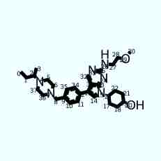 CCC(C)N1CCN(Cc2ccc(-c3cn([C@H]4CC[C@H](O)CC4)c4nc(NCCOC)ncc34)cc2)CC1